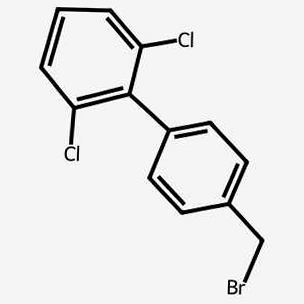 Clc1cccc(Cl)c1-c1ccc(CBr)cc1